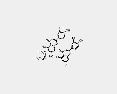 O=C(O)/C=C\C(=O)O.O=c1cc(-c2ccc(O)c(O)c2)oc2cc(O)cc(O)c12.O=c1cc(-c2ccc(O)c(O)c2)oc2cc(O)cc(O)c12